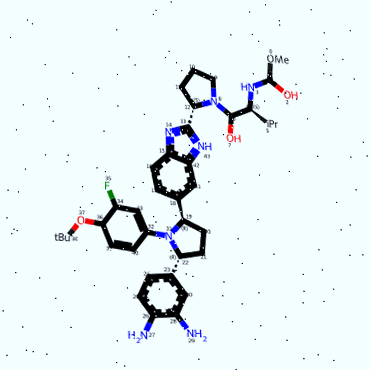 COC(O)N[C@@H](C(C)C)C(O)N1CCC[C@H]1c1nc2ccc([C@H]3CC[C@H](c4ccc(N)c(N)c4)N3C3=CC(F)C(OC(C)(C)C)C=C3)cc2[nH]1